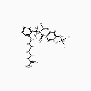 [2H]C([2H])(c1ccccc1OCCCCCC(=O)O)N(C(=O)c1ccc(OC(F)(F)F)cc1)C(C)C